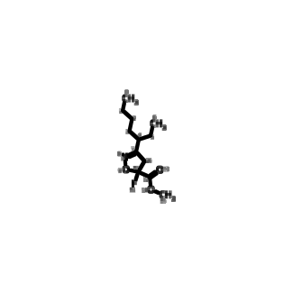 CCCCC(CC)C1=NOC(F)(C(=O)OC)C1